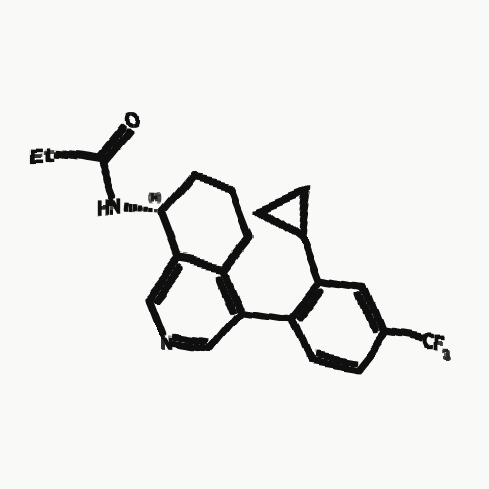 CCC(=O)N[C@@H]1CCCc2c(-c3ccc(C(F)(F)F)cc3C3CC3)cncc21